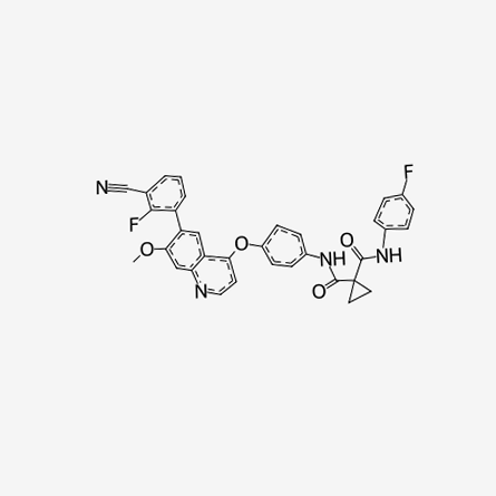 COc1cc2nccc(Oc3ccc(NC(=O)C4(C(=O)Nc5ccc(F)cc5)CC4)cc3)c2cc1-c1cccc(C#N)c1F